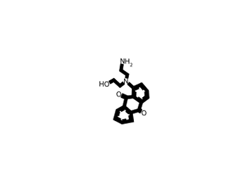 NCCN(CCO)c1cccc2c1C(=O)c1ccccc1C2=O